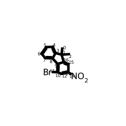 CC1(C)c2ccccc2-c2c(Br)cc([N+](=O)[O-])cc21